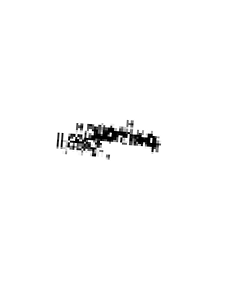 CC(C)n1nc(-c2ccc(CC(=O)Nc3cc(C4CCC(F)(F)C4)no3)cc2)c(C(N)=O)c1NC(=O)OC(C)(C)C